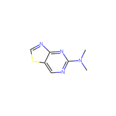 CN(C)c1ncc2s[c]nc2n1